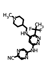 CN1CCC(CNc2cc(Nc3cnc(C#N)cn3)nnc2C(C)(F)F)CC1